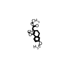 COC(=O)CC1=C(OC)c2ccc(OC)cc2CC1